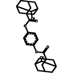 O=C(Oc1ccc(OC(=O)C23CC4CC(C2)C(C(F)(F)F)C(C4)C3)cc1)C12CC3CC(C1)C(C(F)(F)F)C(C3)C2